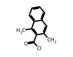 Cc1cc2ccccc2c(C)c1C(=O)Cl